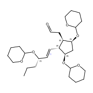 CCC[C@@H](/C=C/[C@@H]1[C@@H](CC=O)[C@@H](OC2CCCCO2)C[C@H]1OC1CCCCO1)OC1CCCCO1